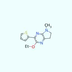 CCOc1nc2c(nc1-c1cccs1)N(C)CC2